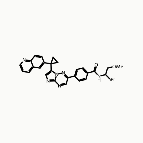 COCC(NC(=O)c1ccc(-c2cnc3ncc(C4(c5ccc6ncccc6c5)CC4)n3n2)cc1)C(C)C